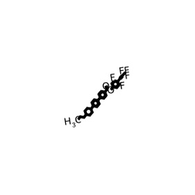 CCCC1CCC(c2ccc(-c3ccc(C(=O)Oc4cc(F)c(C#CC(F)(F)F)c(F)c4)cc3)cc2)CC1